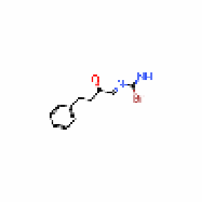 N=C(Br)/N=C/C(=O)CCc1ccccc1